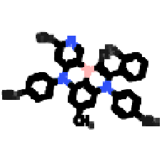 CCC1=C(c2ccccc2CC)N(c2ccc(C(C)(C)C)cc2)c2cc(C)cc3c2B1c1cnc(C(C)(C)C)cc1N3c1ccc(C(C)(C)C)cc1